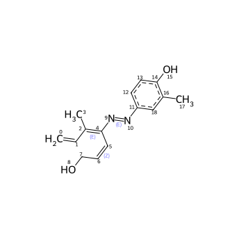 C=C/C(C)=C(\C=C/CO)/N=N/c1ccc(O)c(C)c1